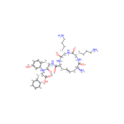 NCCCC[C@@H]1NC(=O)[C@H](CCCCN)NC(=O)[C@@H](N)C/C=C/C[C@@H](C(=O)N[C@@H](Cc2ccc(O)cc2)C(=O)N[C@@H](Cc2ccccc2)C(=O)O)NC1=O